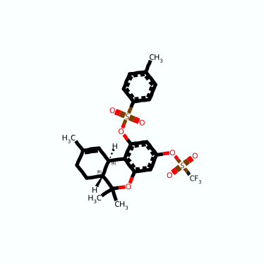 CC1=C[C@H]2c3c(cc(OS(=O)(=O)C(F)(F)F)cc3OS(=O)(=O)c3ccc(C)cc3)OC(C)(C)[C@@H]2CC1